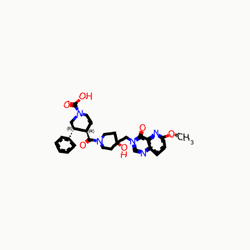 COc1ccc2ncn(CC3(O)CCN(C(=O)[C@@H]4CCN(C(=O)O)C[C@H]4c4ccccc4)CC3)c(=O)c2n1